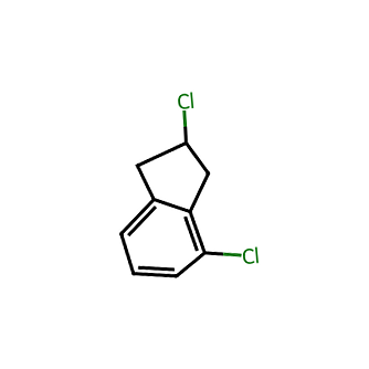 Clc1cccc2c1CC(Cl)C2